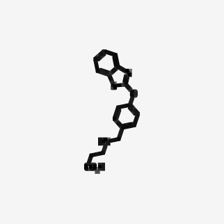 O=C(O)CCNCc1ccc(Oc2nc3ccccc3s2)cc1